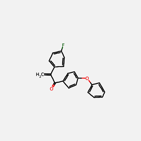 C=C(C(=O)c1ccc(Oc2ccccc2)cc1)c1ccc(F)cc1